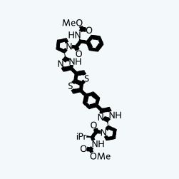 COC(=O)N[C@H](C(=O)N1CCC[C@H]1c1nc(-c2ccc(-c3csc4c(-c5cnc([C@@H]6CCCN6C(=O)[C@H](NC(=O)OC)c6ccccc6)[nH]5)csc34)cc2)c[nH]1)C(C)C